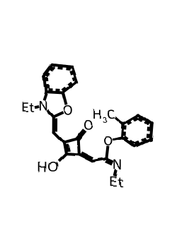 CC/N=C(\C=C1/C(=O)C(/C=C2\Oc3ccccc3N2CC)=C1O)Oc1ccccc1C